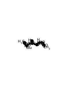 Cc1ccc(-n2nc(C(C)(C)C)cc2NC(=O)Nc2ccc(OCc3ccnc(Nc4cnc(C(=O)N5CCN(C)C(=O)C5)cn4)c3)c3ccccc23)cc1